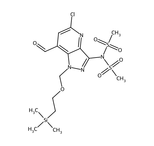 C[Si](C)(C)CCOCn1nc(N(S(C)(=O)=O)S(C)(=O)=O)c2nc(Cl)cc(C=O)c21